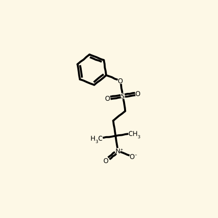 CC(C)(CCS(=O)(=O)Oc1ccccc1)[N+](=O)[O-]